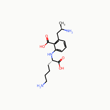 C[C@@H](N)Cc1cccc(N[C@@H](CCCCN)C(=O)O)c1C(=O)O